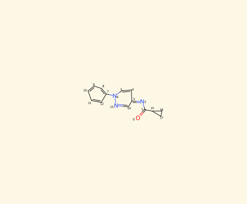 O=C(N=c1ccn(-c2ccccc2)nc1)C1CC1